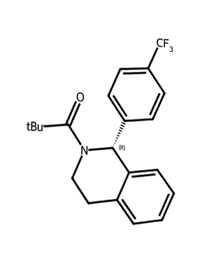 CC(C)(C)C(=O)N1CCc2ccccc2[C@H]1c1ccc(C(F)(F)F)cc1